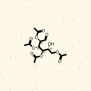 CC(=O)OC[C@@H](O)[C@@H](OC(C)=O)[C@H](OC(C)=O)[C@H](C=O)OC(C)=O